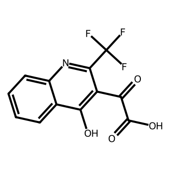 O=C(O)C(=O)c1c(C(F)(F)F)nc2ccccc2c1O